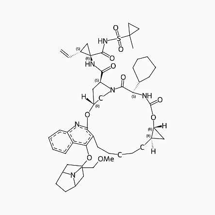 C=C[C@@H]1C[C@]1(NC(=O)[C@@H]1C[C@@H]2CN1C(=O)[C@H](C1CCCCC1)NC(=O)O[C@@H]1C[C@H]1CCCCCc1c(nc3ccccc3c1OC1CC3CCC(C1)N3CCOC)O2)C(=O)NS(=O)(=O)C1(C)CC1